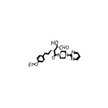 CCOc1ccc(CCC[C@@H](C(=O)N2CCN(c3ncccn3)CC2)[C@H](O)C=O)cc1